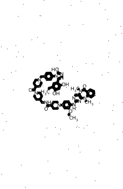 CCOc1cc(N2CCC(C(=O)NCC3CCN(C(=O)C4CCN(Cc5ccc(-n6c(O)nnc6-c6cc(CC)c(O)cc6O)cc5)CC4)CC3)CC2)ccc1Nc1ncc2c(n1)N(C)c1ccccc1C(=O)N2C